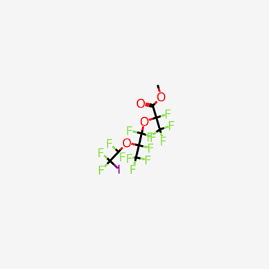 COC(=O)C(F)(OC(F)(F)C(F)(OC(F)(F)C(F)(F)I)C(F)(F)F)C(F)(F)F